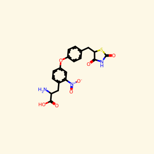 NC(Cc1ccc(Oc2ccc(CC3SC(=O)NC3=O)cc2)cc1[N+](=O)[O-])C(=O)O